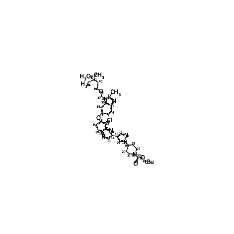 Cc1nc2ccc(Oc3ccc4ncc(-c5cnn(C6CCN(C(=O)OC(C)(C)C)CC6)c5)nc4c3Cl)cc2n1COCC[Si](C)(C)C